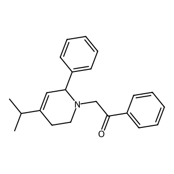 CC(C)C1=CC(c2ccccc2)N(CC(=O)c2ccccc2)CC1